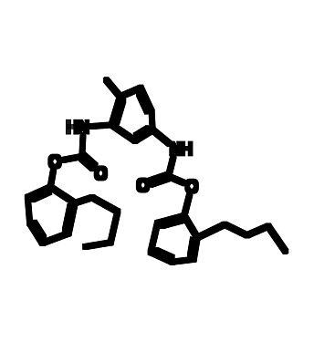 CCCCc1ccccc1OC(=O)Nc1ccc(C)c(NC(=O)Oc2ccccc2CCCC)c1